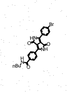 CCCCNC(=O)c1ccc(C2=C3C(=O)NC(c4ccc(Br)cc4)=C3C(=O)N2)cc1